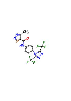 Cc1nnsc1C(=O)Nc1ccc(-n2c(C(F)(F)F)nnc2C(F)(F)F)cc1